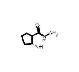 NNC(=O)[C@@H]1CCC[C@H]1O